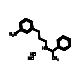 CC(NCCCc1cccc(N)c1)c1ccccc1.Cl.Cl